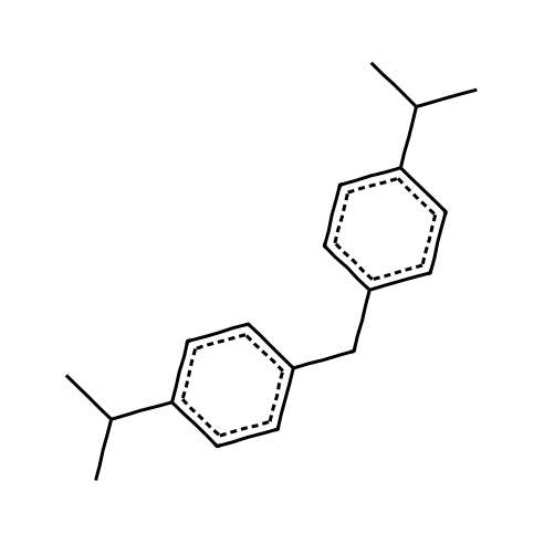 CC(C)c1ccc(Cc2ccc(C(C)C)cc2)cc1